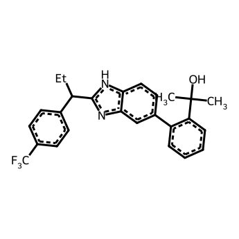 CCC(c1ccc(C(F)(F)F)cc1)c1nc2cc(-c3ccccc3C(C)(C)O)ccc2[nH]1